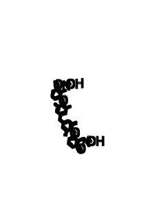 COc1cccc(Oc2c(C)cc(Cc3cc(C)c(Oc4cccc(OC)c4/C=N/O)c(C)c3)cc2C)c1/C=N/O